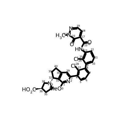 COc1nc(-c2cccc(-c3cccc(NC(=O)c4ccnn(C)c4=O)c3Cl)c2Cl)cc2c1[C@H](N1CC[C@@H](C(=O)O)C1)CC2